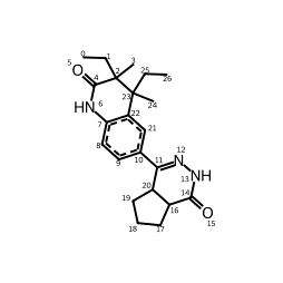 CCC1(C)C(=O)Nc2ccc(C3=NNC(=O)C4CCCC34)cc2C1(C)CC